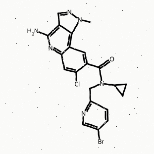 Cn1ncc2c(N)nc3cc(Cl)c(C(=O)N(Cc4ccc(Br)cn4)C4CC4)cc3c21